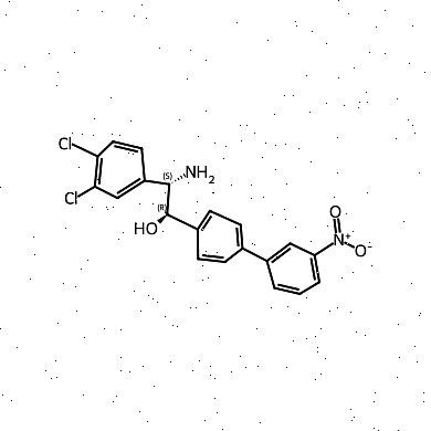 N[C@@H](c1ccc(Cl)c(Cl)c1)[C@H](O)c1ccc(-c2cccc([N+](=O)[O-])c2)cc1